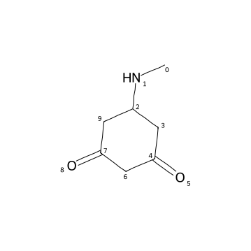 CNC1CC(=O)CC(=O)C1